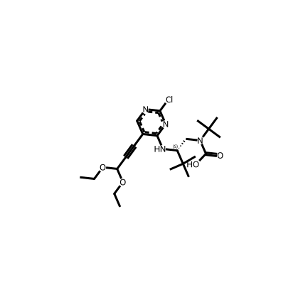 CCOC(C#Cc1cnc(Cl)nc1N[C@H](CN(C(=O)O)C(C)(C)C)C(C)(C)C)OCC